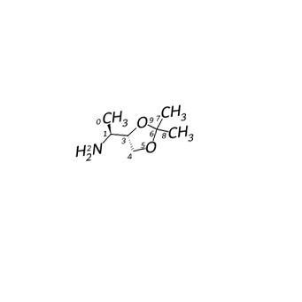 C[C@H](N)[C@H]1COC(C)(C)O1